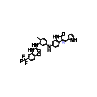 Cc1ccc(Nc2ccc3c(c2)NC(=O)/C3=C\c2ccc[nH]2)cc1NC(=O)Nc1cc(C(F)(F)F)ccc1Cl